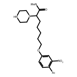 CNC(=O)C(CCCCCOc1ccc(C(C)=O)c([N+](=O)[O-])c1)N1CCNCC1